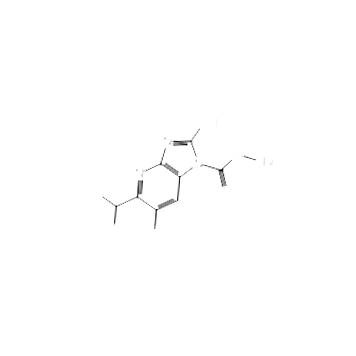 Cc1nc2nc(C(C)Cl)c(F)cc2n1C(=O)OC(C)(C)C